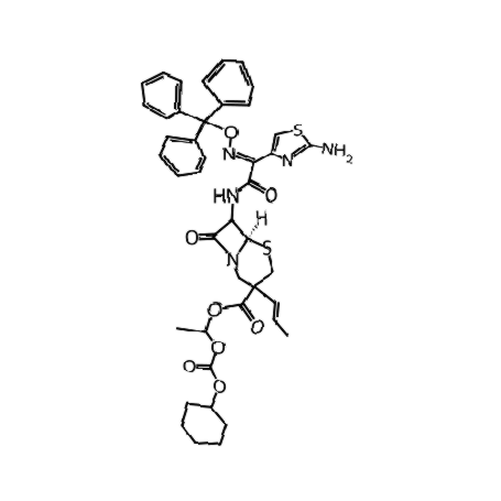 CC=CC1(C(=O)OC(C)OC(=O)OC2CCCCC2)CS[C@@H]2C(NC(=O)C(=NOC(c3ccccc3)(c3ccccc3)c3ccccc3)c3csc(N)n3)C(=O)N2C1